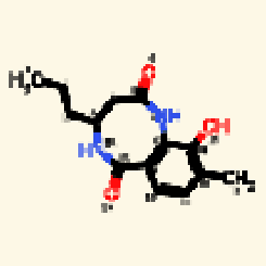 CCCC1CC(=O)Nc2c(ccc(C)c2O)C(=O)N1